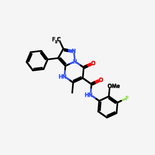 COc1c(F)cccc1NC(=O)c1c(C)[nH]c2c(-c3ccccc3)c(C(F)(F)F)nn2c1=O